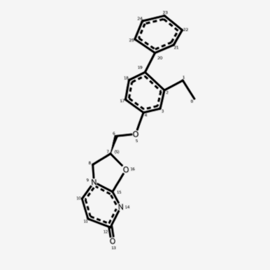 CCc1cc(OC[C@@H]2Cn3ccc(=O)nc3O2)ccc1-c1ccccc1